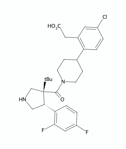 CC(C)(C)[C@]1(C(=O)N2CCC(c3ccc(Cl)cc3CC(=O)O)CC2)CNC[C@H]1c1ccc(F)cc1F